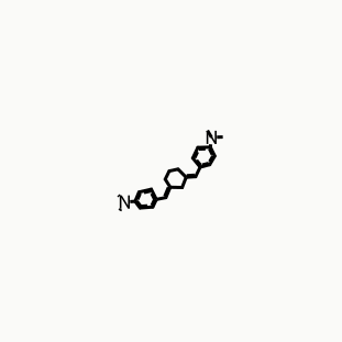 CN(C)c1ccc(C=C2CCCC(=Cc3ccc(N(C)C)cc3)C2)cc1